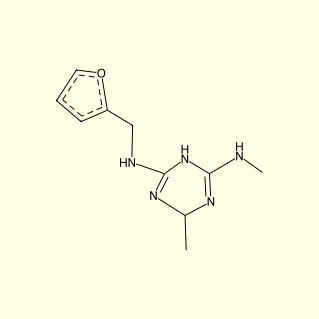 CNC1=NC(C)N=C(NCc2ccco2)N1